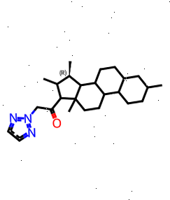 CC1CCC2C(CCC3C2CCC2(C)C(C(=O)Cn4nccn4)C(C)[C@@H](C)C32)C1